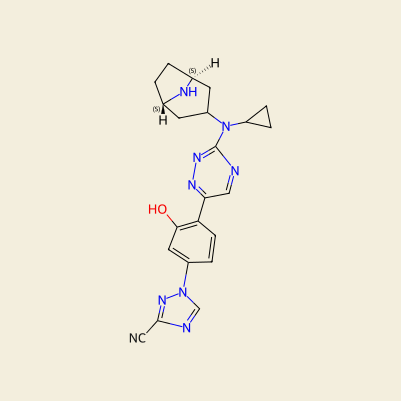 N#Cc1ncn(-c2ccc(-c3cnc(N(C4CC4)C4C[C@@H]5CC[C@@H](C4)N5)nn3)c(O)c2)n1